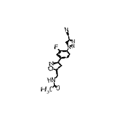 CC(=O)NCC1CC(c2ccc(-n3cc(C#N)nn3)c(F)c2)=NO1